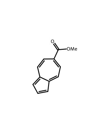 COC(=O)c1ccc2cccc-2cc1